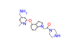 Cc1cc(CN)cc(Oc2cccc3c2ccn3CC(=O)N2CCNCC2)n1